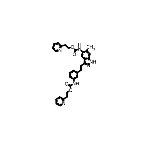 Cc1cc2[nH]nc(/C=C/c3cccc(NC(=O)OCCc4ccccn4)c3)c2cc1NC(=O)OCCc1ccccn1